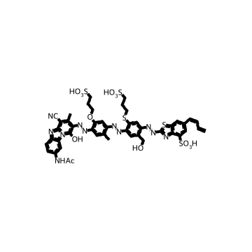 C=C/C=C\c1cc(S(=O)(=O)O)c2nc(N=Nc3cc(SCCCS(=O)(=O)O)c(N=Nc4cc(OCCCS(=O)(=O)O)c(N=Nc5c(C)c(C#N)c6nc7ccc(NC(C)=O)cc7n6c5O)cc4C)cc3CO)sc2c1